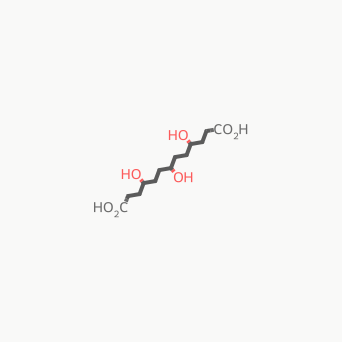 O=C(O)CCC(O)CCC(O)CCC(O)CCC(=O)O